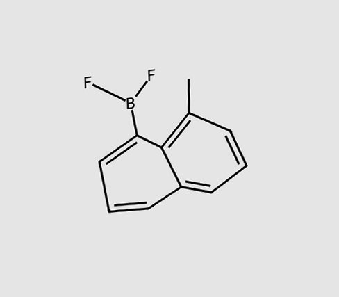 Cc1cccc2cccc(B(F)F)c12